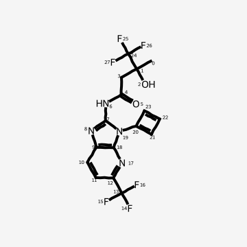 CC(O)(CC(=O)Nc1nc2ccc(C(F)(F)F)nc2n1C1=CC=C1)C(F)(F)F